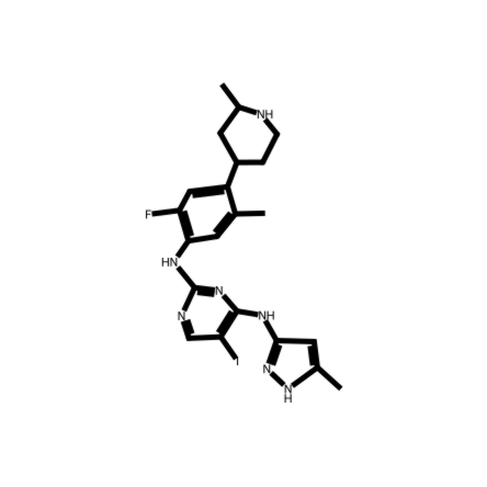 Cc1cc(Nc2nc(Nc3cc(C)c(C4CCNC(C)C4)cc3F)ncc2I)n[nH]1